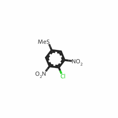 CSc1cc([N+](=O)[O-])c(Cl)c([N+](=O)[O-])c1